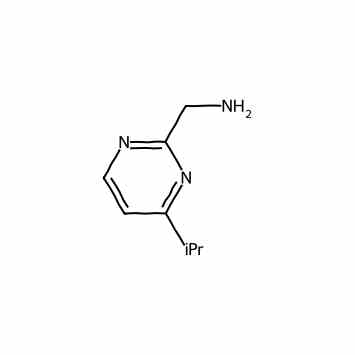 CC(C)c1ccnc(CN)n1